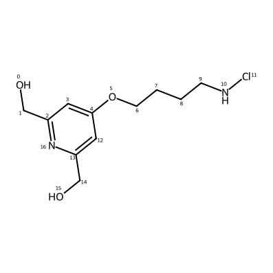 OCc1cc(OCCCCNCl)cc(CO)n1